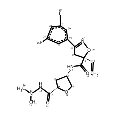 C=C[C@]1(C(=O)N[C@@H]2CO[C@H](C(=O)NN(C)C)C2)CC(c2cc(F)cc(F)c2)=NO1